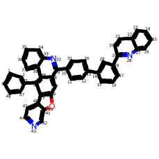 c1ccc(-c2c3c(cc4c(-c5ccc(-c6cccc(-c7ccc8ccccc8n7)c6)cc5)nc5ccccc5c24)oc2cnccc23)cc1